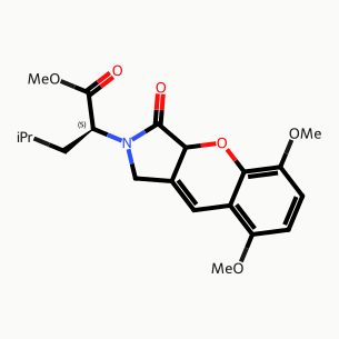 COC(=O)[C@H](CC(C)C)N1CC2=Cc3c(OC)ccc(OC)c3OC2C1=O